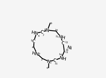 CN1CNCCNCN(C)CNCCNC1.[Ni]